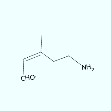 CC(=C[C]=O)CCN